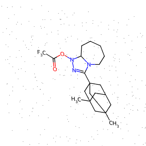 CC12CC3CC(C)(C1)CC(C1=NN(OC(=O)C(F)(F)F)C4CCCCCN14)(C3)C2